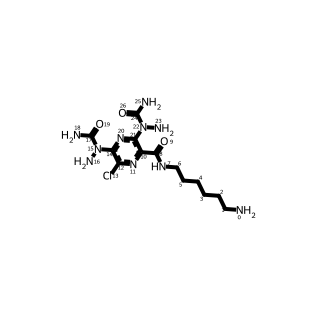 NCCCCCCNC(=O)c1nc(Cl)c(N(N)C(N)=O)nc1N(N)C(N)=O